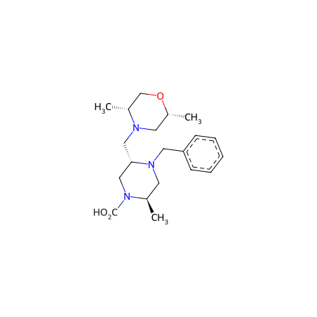 C[C@@H]1CN(C[C@H]2CN(C(=O)O)[C@H](C)CN2Cc2ccccc2)[C@H](C)CO1